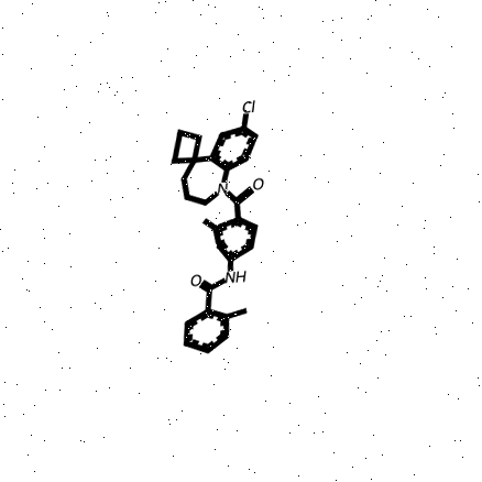 Cc1ccccc1C(=O)Nc1ccc(C(=O)N2CCCC3(CCC3)c3cc(Cl)ccc32)c(C)c1